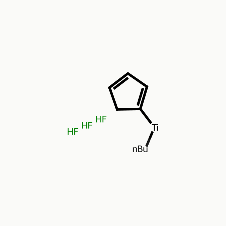 CCC[CH2][Ti][C]1=CC=CC1.F.F.F